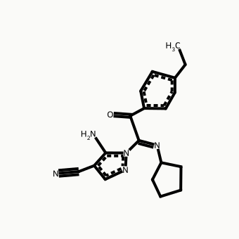 CCc1ccc(C(=O)/C(=N/C2CCCC2)n2ncc(C#N)c2N)cc1